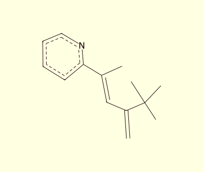 C=C(/C=C(\C)c1ccccn1)C(C)(C)C